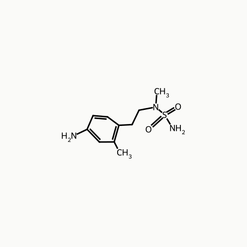 Cc1cc(N)ccc1CCN(C)S(N)(=O)=O